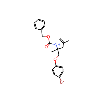 C=C(C)CC(C)(COc1ccc(Br)cc1)NC(=O)OCc1ccccc1